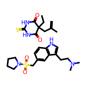 C=C(C)CC1(CC)C(=O)NC(=S)NC1=O.CN(C)CCc1c[nH]c2ccc(CS(=O)(=O)N3CCCC3)cc12